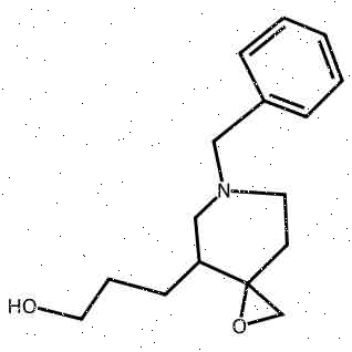 OCCCC1CN(Cc2ccccc2)CCC12CO2